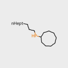 CCCCCCCCCCPC1CCCCCCCC1